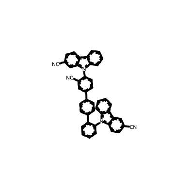 N#Cc1ccc2c(c1)c1ccccc1n2-c1ccccc1-c1ccc(-c2ccc(-n3c4ccccc4c4ccc(C#N)cc43)c(C#N)c2)cc1